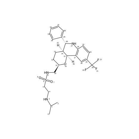 CC(C)NCCS(=O)(=O)NC[C@H]1CC[C@@H]2[C@H](O1)c1cc(C(F)(F)F)ccc1N[C@H]2c1ccccc1